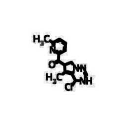 CC1=C2C(Cl)NC=NN2CC1C(=O)c1cccc(C)n1